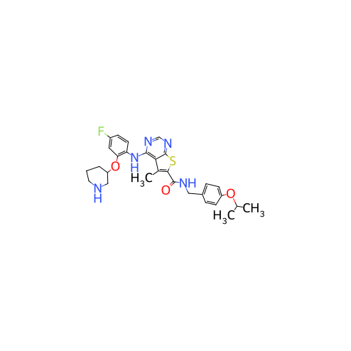 Cc1c(C(=O)NCc2ccc(OC(C)C)cc2)sc2ncnc(Nc3ccc(F)cc3OC3CCCNC3)c12